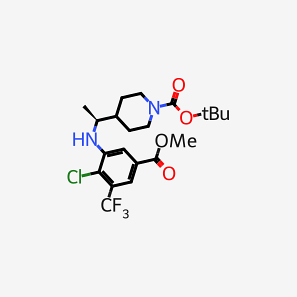 COC(=O)c1cc(N[C@@H](C)C2CCN(C(=O)OC(C)(C)C)CC2)c(Cl)c(C(F)(F)F)c1